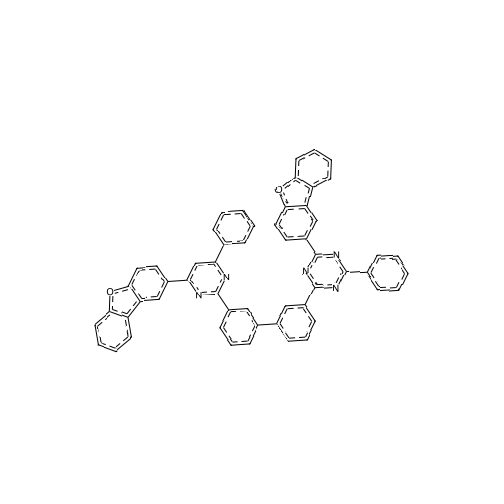 c1ccc(-c2cc(-c3ccc4oc5ccccc5c4c3)nc(-c3cccc(-c4cccc(-c5nc(-c6ccccc6)nc(-c6ccc7oc8ccccc8c7c6)n5)c4)c3)n2)cc1